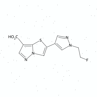 O=C(O)c1cnn2cc(-c3cnn(CCF)c3)sc12